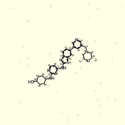 C[C@@H]1CN(Cc2cncc(-c3ccc4nc(Nc5ccnc(NC6CCC(O)CC6)n5)sc4c3)c2)C[C@H](C)O1